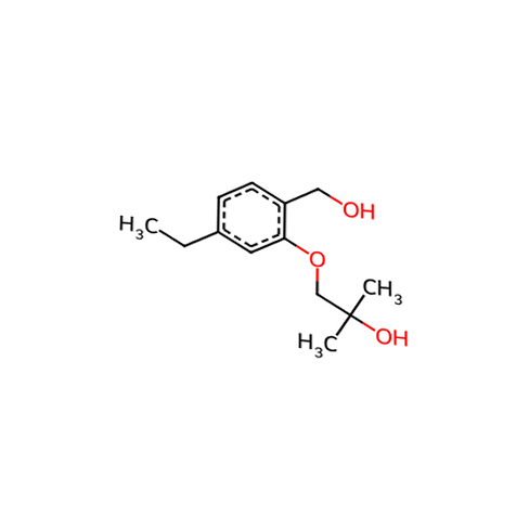 CCc1ccc(CO)c(OCC(C)(C)O)c1